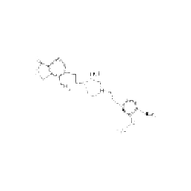 COc1cc(CCN2CCN(CCc3ccc4c(c3C)COC4=O)CC2)ccc1C#N.Cl